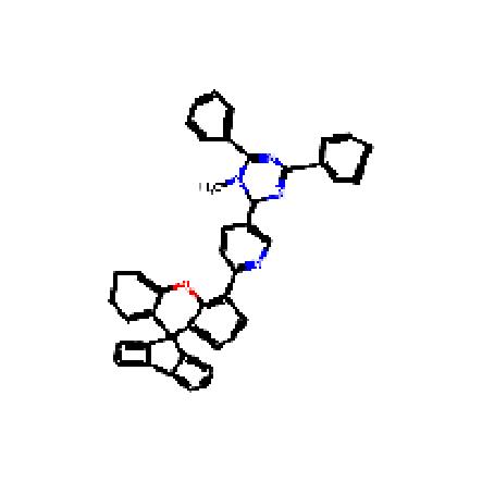 CN1C(c2ccccc2)=NC(c2ccccc2)=NC1c1ccc(-c2cccc3c2OC2=CCCC=C2C32c3ccccc3-c3ccccc32)nc1